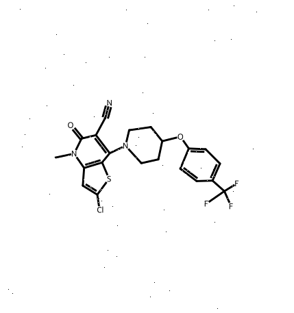 Cn1c(=O)c(C#N)c(N2CCC(Oc3ccc(C(F)(F)F)cc3)CC2)c2sc(Cl)cc21